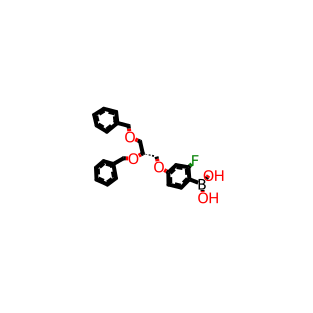 OB(O)c1ccc(OC[C@@H](COCc2ccccc2)OCc2ccccc2)cc1F